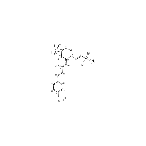 CCC(C)(C=CC1=CCC(C)(C)c2ccc(C=Cc3ccc(C(=O)O)cc3)cc21)CC